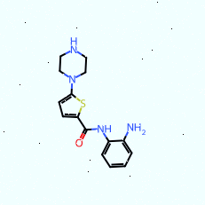 Nc1ccccc1NC(=O)c1ccc(N2CCNCC2)s1